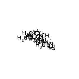 COc1cccc(OC)c1-n1c(NS(=O)(=O)C(C)Cc2ncc(F)cn2)nnc1-c1cn(C)nn1